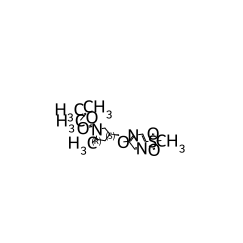 C[C@@H]1C[C@H](COc2cnc(S(C)(=O)=O)cn2)CN1C(=O)OC(C)(C)C